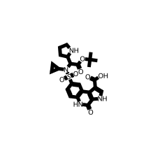 CC(C)(C)OC(=O)C(C1CCCN1)N(C1CC1)S(=O)(=O)c1ccc2[nH]c(=O)c3[nH]cc(C(=O)O)c3c2c1